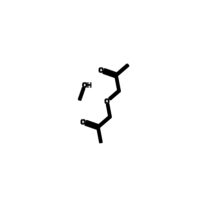 CC(=O)COCC(C)=O.CO